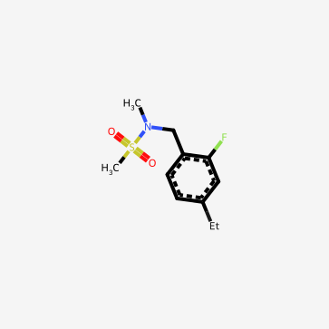 CCc1ccc(CN(C)S(C)(=O)=O)c(F)c1